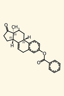 C[C@]12CC[C@H]3C(=CCc4cc(OC(=O)c5ccccc5)ccc43)[C@@H]1CCC2=O